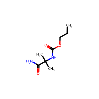 CCCOC(=O)NC(C)(C)C(N)=O